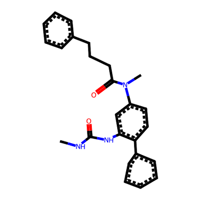 CNC(=O)Nc1cc(N(C)C(=O)CCCc2ccccc2)ccc1-c1ccccc1